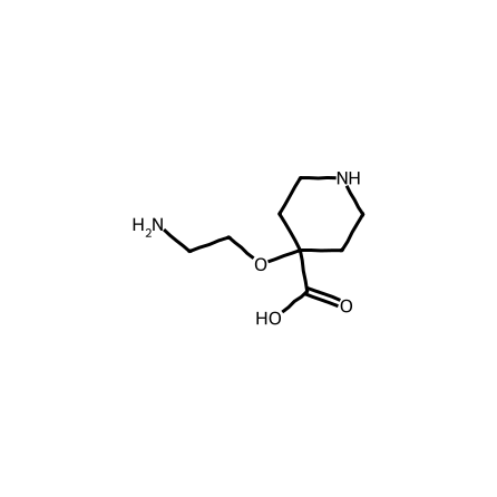 NCCOC1(C(=O)O)CCNCC1